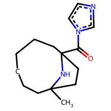 CC12CCCCCCC(C(=O)n3ccnc3)(CC1)N2